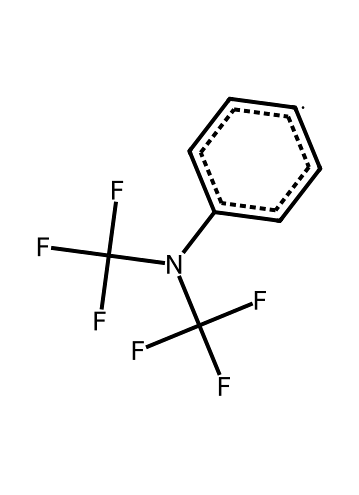 FC(F)(F)N(c1cc[c]cc1)C(F)(F)F